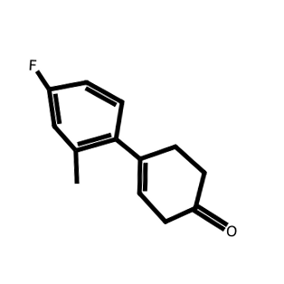 Cc1cc(F)ccc1C1=CCC(=O)CC1